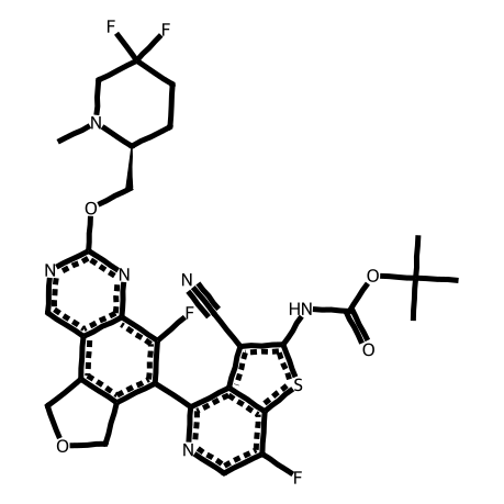 CN1CC(F)(F)CC[C@H]1COc1ncc2c3c(c(-c4ncc(F)c5sc(NC(=O)OC(C)(C)C)c(C#N)c45)c(F)c2n1)COC3